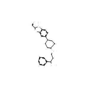 CC(CCNC1CCC(c2ccc3c(c2)OC(C=O)N3)CC1)c1ccccc1